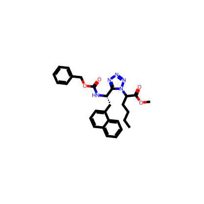 CCCCC(C(=O)OC)n1nnnc1[C@H](Cc1cccc2ccccc12)NC(=O)OCc1ccccc1